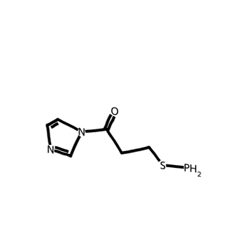 O=C(CCSP)n1ccnc1